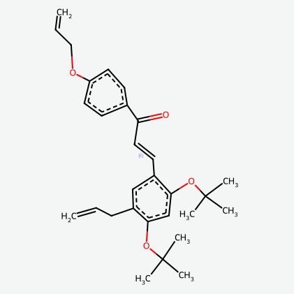 C=CCOc1ccc(C(=O)/C=C/c2cc(CC=C)c(OC(C)(C)C)cc2OC(C)(C)C)cc1